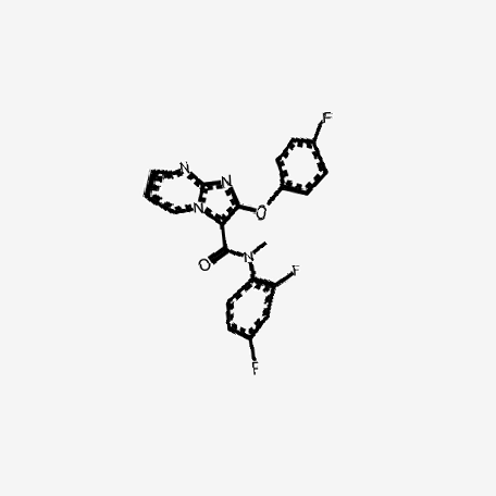 CN(C(=O)c1c(Oc2ccc(F)cc2)nc2ncccn12)c1ccc(F)cc1F